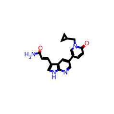 NC(=O)C=Cc1c[nH]c2ncc(-c3ccc(=O)n(CC4CC4)c3)cc12